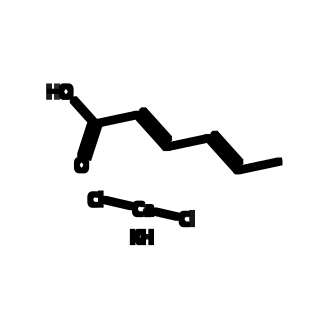 C/C=C/C=C/C(=O)O.[Cl][Ca][Cl].[KH]